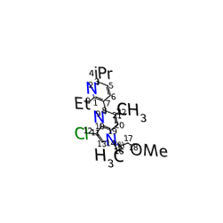 CCc1nc(C(C)C)ccc1-c1nc2c(Cl)cn([C@@H](C)COC)c2cc1C